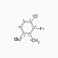 Cc1c(C(C)(C)C)ccc(Cl)c1F